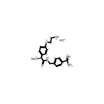 CO[C@H](C(=O)NCc1ccc(C(=N)N)cc1)c1ccc(OCCO)cc1.Cl